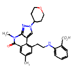 Cc1cc(CCNc2ccccc2C(=O)O)c2c(c1)c(=O)n(C)c1nn(C3CCOCC3)cc21